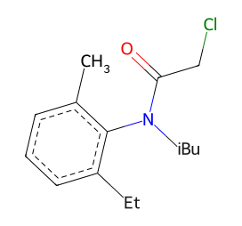 CCc1cccc(C)c1N(C(=O)CCl)C(C)CC